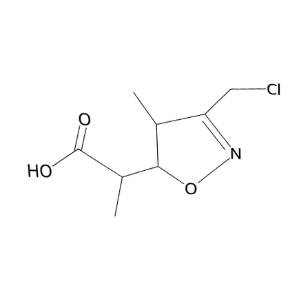 CC(C(=O)O)C1ON=C(CCl)C1C